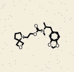 CC(Cc1ccc2c(c1)OCO2)N(C)C(=O)OCCN1CCCC12COC2